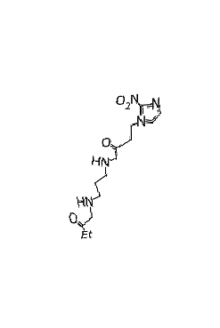 CCC(=O)CNCCCNCC(=O)CCn1ccnc1[N+](=O)[O-]